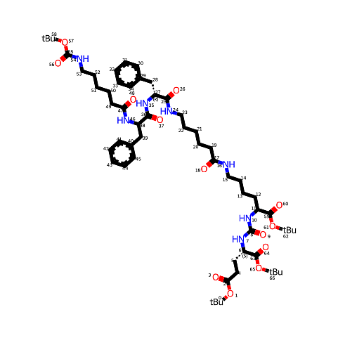 CC(C)(C)OC(=O)CC[C@H](NC(=O)NC(CCCCNC(=O)CCCCCNC(=O)[C@@H](Cc1ccccc1)NC(=O)C(Cc1ccccc1)NC(=O)CCCCCNC(=O)OC(C)(C)C)C(=O)OC(C)(C)C)C(=O)OC(C)(C)C